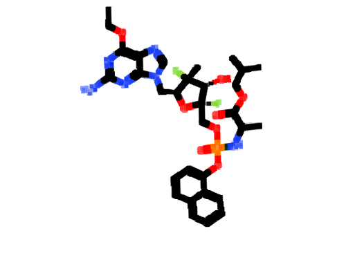 CCOc1nc(N)nc2c1ncn2C[C@@H]1O[C@](F)(COP(=O)(NC(C)C(=O)OCC(C)C)Oc2cccc3ccccc23)[C@@H](O)[C@@]1(C)F